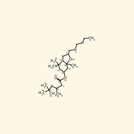 CCCCOCC1CN2C(C)(C)CC(OC(=O)CC(C)CC(C)(C)C)CC2(C)O1